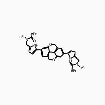 C=C(CCC)N(CCC)Cc1ncc(-c2cc3c4c(c2)OCc2cc(-c5cnc(CN(CCC)C(=O)CCC)[nH]5)cc(c2-4)OC3)[nH]1